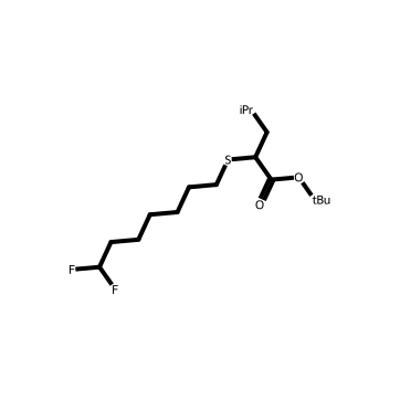 CC(C)CC(SCCCCCCC(F)F)C(=O)OC(C)(C)C